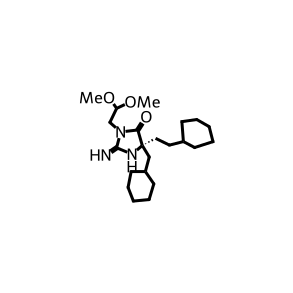 COC(CN1C(=N)N[C@](CCC2CCCCC2)(CC2CCCCC2)C1=O)OC